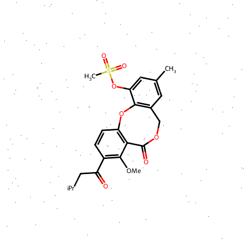 COc1c(C(=O)CC(C)C)ccc2c1C(=O)OCc1cc(C)cc(OS(C)(=O)=O)c1O2